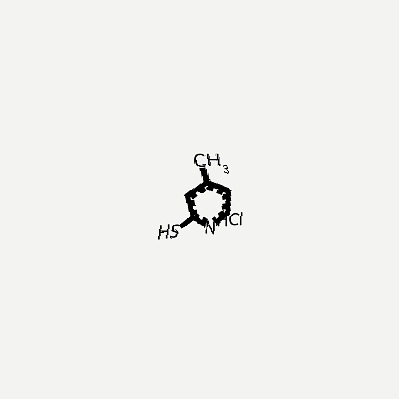 Cc1ccnc(S)c1.Cl